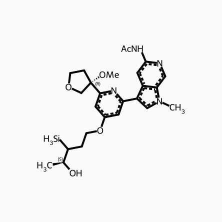 CO[C@@]1(c2cc(OCCC([SiH3])[C@H](C)O)cc(-c3cn(C)c4cnc(NC(C)=O)cc34)n2)CCOC1